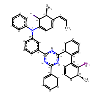 C/C=C\C1=CC=C(N(c2ccccc2)c2cccc(-c3nc(C4=CC=CCC4)nc(C4CC=CC=C4C4=C(P)[C@@H](C)CC=C4)n3)c2)C(I)[C@H]1C